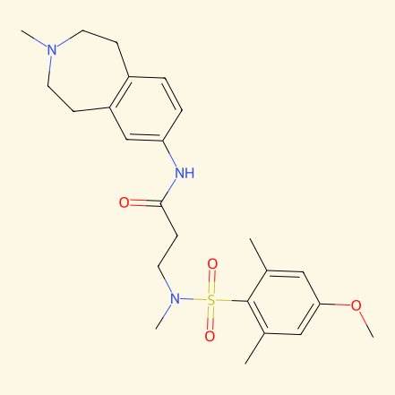 COc1cc(C)c(S(=O)(=O)N(C)CCC(=O)Nc2ccc3c(c2)CCN(C)CC3)c(C)c1